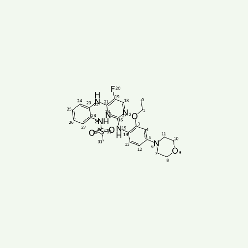 CCOc1cc(N2CCOCC2)ccc1Nc1ncc(F)c(Nc2ccccc2NS(C)(=O)=O)n1